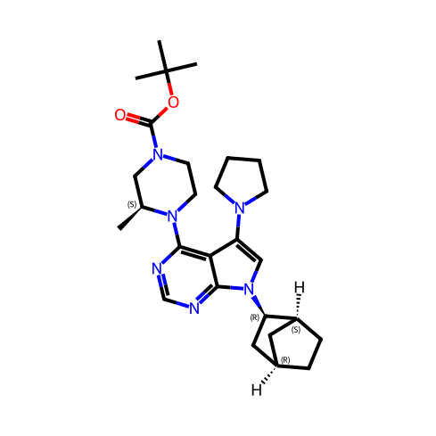 C[C@H]1CN(C(=O)OC(C)(C)C)CCN1c1ncnc2c1c(N1CCCC1)cn2[C@@H]1C[C@@H]2CC[C@H]1C2